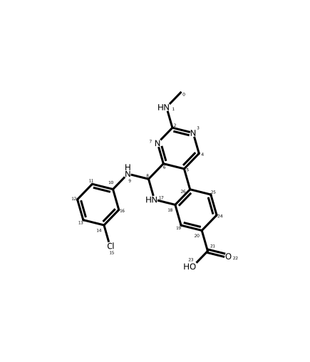 CNc1ncc2c(n1)C(Nc1cccc(Cl)c1)Nc1cc(C(=O)O)ccc1-2